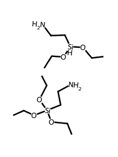 CCO[SiH](CCN)OCC.CCO[Si](CCN)(OCC)OCC